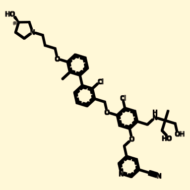 Cc1c(OCCCN2CC[C@@H](O)C2)cccc1-c1cccc(COc2cc(OCc3cncc(C#N)c3)c(CNC(C)(CO)CO)cc2Cl)c1Cl